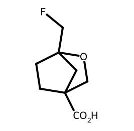 O=C(O)C12CCC(CF)(C1)OC2